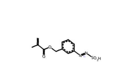 C=C(C)C(=O)OCc1cccc(/N=N/S(=O)(=O)O)c1